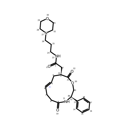 O=C(C[C@@H]1C/C=C/CCC(=O)N[C@H](c2ccccc2)COC1=O)NCCCN1CCOCC1